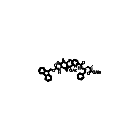 COC(=O)[C@@H](C)C[C@H](Cc1ccccc1)NC(=O)c1cccc([C@@H](C[C@H](C(C)C)N(C)C(=O)[C@@H](NC(=O)OCC2c3ccccc3-c3ccccc32)C2CC2)OC(C)=O)n1